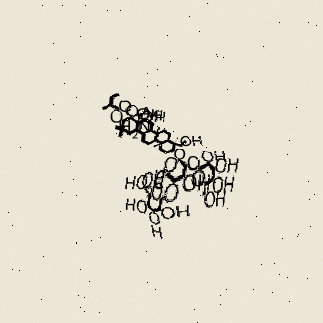 C/C=C(/C)C(=O)O[C@@H]1[C@H](OC(C)=O)[C@@]2(CO)C(CC1(C)C)C1=CCC3[C@@]4(C)CC[C@H](O[C@@H]5O[C@H](C(=O)O)[C@@H](O[C@@H]6O[C@H](CO)[C@@H](O)[C@H](O)[C@H]6O)[C@H](O)[C@H]5O[C@@H]5O[C@H](CO)[C@@H](O)[C@H](O)[C@H]5O)[C@](C)(CO)C4CC[C@@]3(C)[C@]1(N)C[C@H]2O